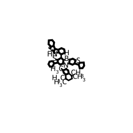 Cc1cc2c(cc1N1c3cc4c(cc3Bc3c1cc1c(sc5ccccc51)c3-c1cccc3c1[nH]c1sc5ccccc5c13)sc1ccccc14)C(C)(C)CCC2(C)C